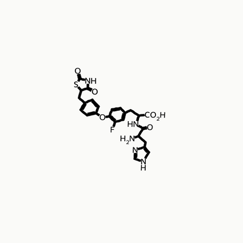 NC(Cc1c[nH]cn1)C(=O)NC(Cc1ccc(Oc2ccc(CC3SC(=O)NC3=O)cc2)c(F)c1)C(=O)O